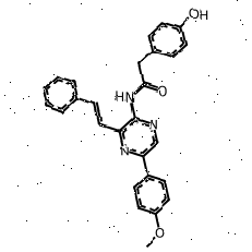 COc1ccc(-c2cnc(NC(=O)Cc3ccc(O)cc3)c(/C=C/c3ccccc3)n2)cc1